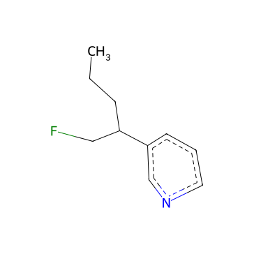 CCCC(CF)c1cccnc1